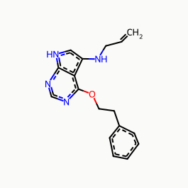 C=CCNc1c[nH]c2ncnc(OCCc3ccccc3)c12